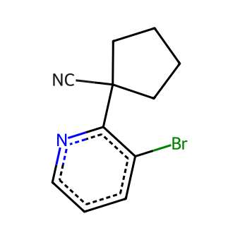 N#CC1(c2ncccc2Br)CCCC1